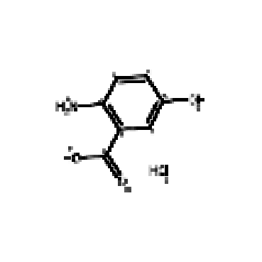 Cl.Nc1ccc(O)cc1C(=O)O